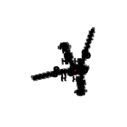 CCCCCCCCCCCCOC(=O)CCNCCC[Si@](OC)(O[Si](CCCNc1ccc(/N=N/c2n(C)cc[n+]2C)cc1)(OC)OC)O[Si](CCCNc1ccc(/N=N/c2n(C)cc[n+]2C)cc1)(OC)O[Si](CCCNCCC(=O)OCCCCCCCCCCC)(OC)OC